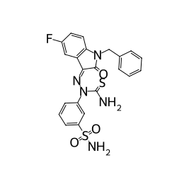 NC(=S)N(/N=C1\C(=O)N(Cc2ccccc2)c2ccc(F)cc21)c1cccc(S(N)(=O)=O)c1